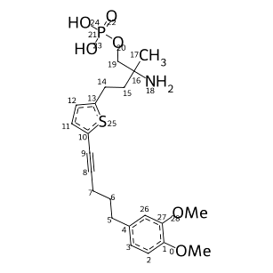 COc1ccc(CCCC#Cc2ccc(CCC(C)(N)COP(=O)(O)O)s2)cc1OC